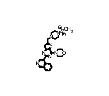 CS(=O)(=O)N1CCN(Cc2cc3nc(-c4cncc5ccccc45)nc(N4CCOCC4)c3s2)CC1